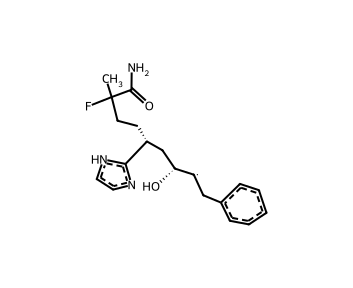 CC(F)(CC[C@H](C[C@@H](O)[CH]Cc1ccccc1)c1ncc[nH]1)C(N)=O